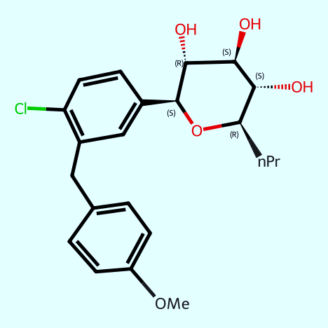 CCC[C@H]1O[C@@H](c2ccc(Cl)c(Cc3ccc(OC)cc3)c2)[C@H](O)[C@@H](O)[C@@H]1O